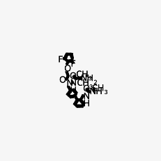 CNC(=O)NCc1ccccc1-c1ccc(CN(NC(=O)C(C)(C)N)C(=O)CCOCc2c(F)cccc2F)cc1